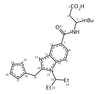 CCCCC(CC(=O)O)NC(=O)c1ccc2c(c1)nc(Cc1cccs1)n2C(CC)CC